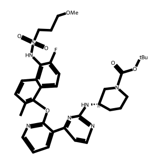 COCCCS(=O)(=O)Nc1c(F)ccc2c(Oc3ncccc3-c3ccnc(N[C@H]4CCCN(C(=O)OC(C)(C)C)C4)n3)c(C)ccc12